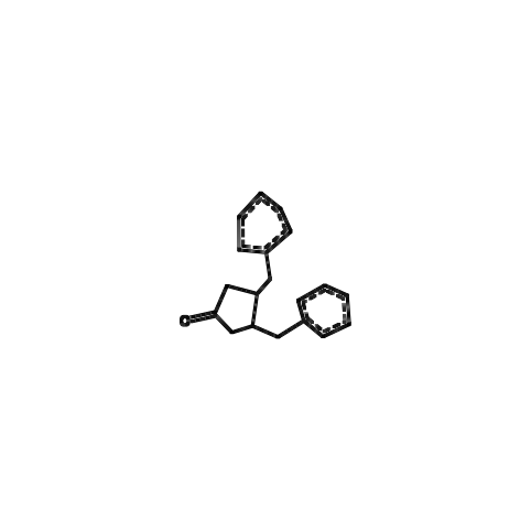 O=C1CC(Cc2ccccc2)C(Cc2ccccc2)C1